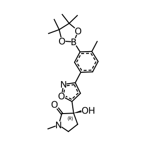 Cc1ccc(-c2cc([C@]3(O)CCN(C)C3=O)on2)cc1B1OC(C)(C)C(C)(C)O1